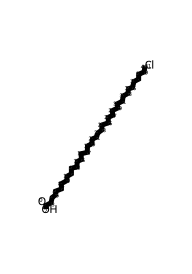 O=C(O)CCCCCCCCCCCCCCCCCCCCCCCCCCCCCCCCCCCCCCCl